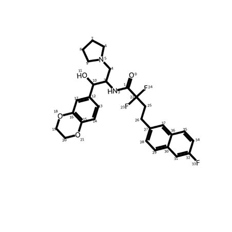 O=C(NC(CN1CCCC1)C(O)c1ccc2c(c1)OCCO2)C(F)(F)CCc1ccc2cc(F)ccc2c1